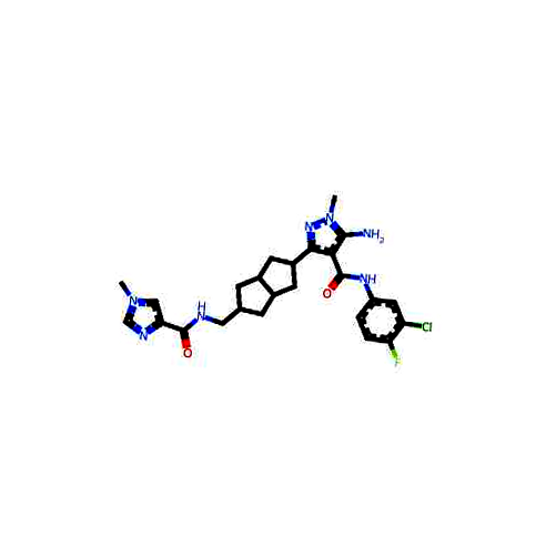 Cn1cnc(C(=O)NCC2CC3CC(c4nn(C)c(N)c4C(=O)Nc4ccc(F)c(Cl)c4)CC3C2)c1